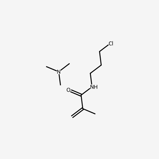 C=C(C)C(=O)NCCCCl.CN(C)C